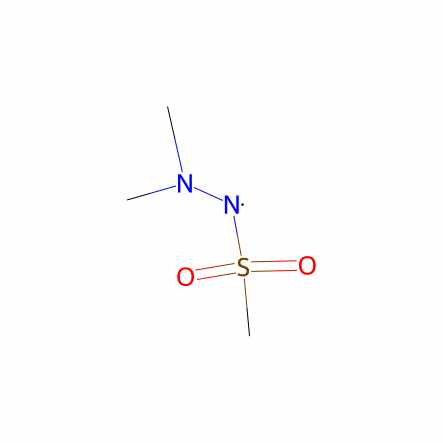 CN(C)[N]S(C)(=O)=O